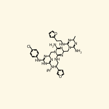 CC1N=C(N)N(CC2N=C(N)N(CC3N=C(Nc4ccc(Cl)cc4)NC(NC(C)C)=N3)C(NCCc3ccoc3)=N2)C(NCCc2ccco2)=N1